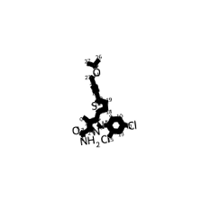 Cc1c(C(N)=O)nn(-c2ccc(Cl)cc2Cl)c1-c1ccc(C#CCOC(C)C)s1